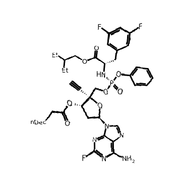 C#C[C@]1(CO[P@@](=O)(N[C@@H](Cc2cc(F)cc(F)c2)C(=O)OCC(CC)CC)Oc2ccccc2)O[C@@H](n2cnc3c(N)nc(F)nc32)C[C@@H]1OC(=O)CCCCCCCCCCC